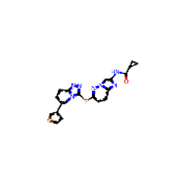 O=C(Nc1cn2nc(Sc3nnc4ccc(-c5ccsc5)cn34)ccc2n1)C1CC1